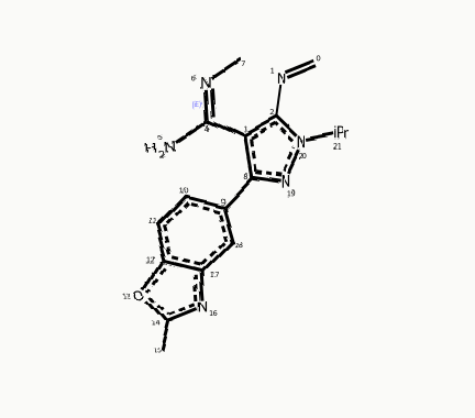 C=Nc1c(/C(N)=N\C)c(-c2ccc3oc(C)nc3c2)nn1C(C)C